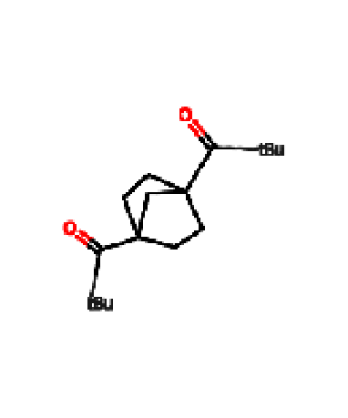 CC(C)(C)C(=O)C12CCC(C(=O)C(C)(C)C)(CC1)C2